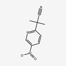 CC(C)(C#N)c1ccc([N+](=O)[O-])cn1